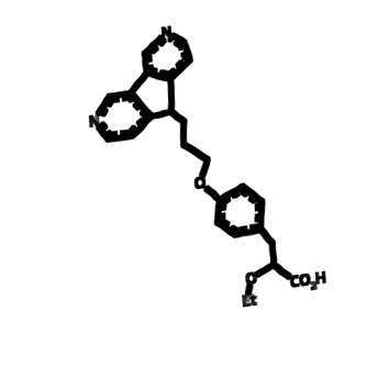 CCOC(Cc1ccc(OCCCC2c3ccncc3-c3cnccc32)cc1)C(=O)O